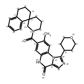 Cc1cc2c(cc1C(=O)N1CCCC3(CCCc4ccccc43)C1)[nH]c(=O)c1cnc(C3CCOCC3)n12